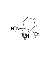 CCC1(N)CCCCC1(N)CC